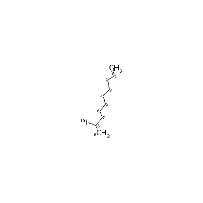 C=CCCCCCCC(C)I